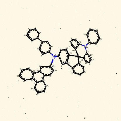 c1ccc(-c2ccc(N(c3ccc4c(c3)-c3ccccc3C43c4ccccc4N(c4ccccc4)c4ccccc43)c3ccc4c5ccccc5c5ccccc5c4c3)cc2)cc1